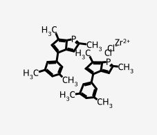 CC1=PC2=C(C)C=C(c3cc(C)cc(C)c3)C2=C1.CC1=PC2=C(C)C=C(c3cc(C)cc(C)c3)C2=C1.[Cl-].[Cl-].[Zr+2]